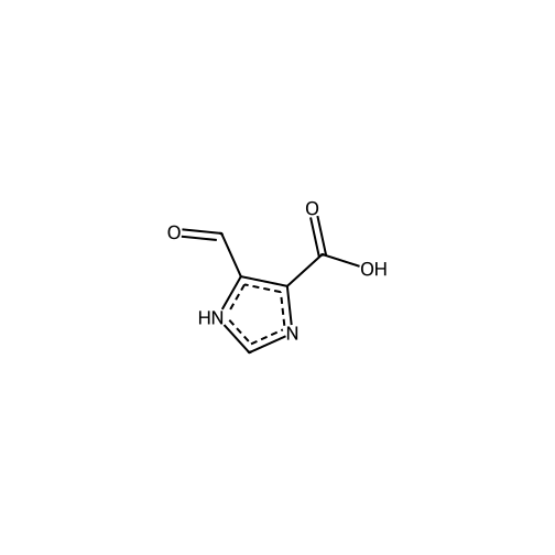 O=Cc1[nH]cnc1C(=O)O